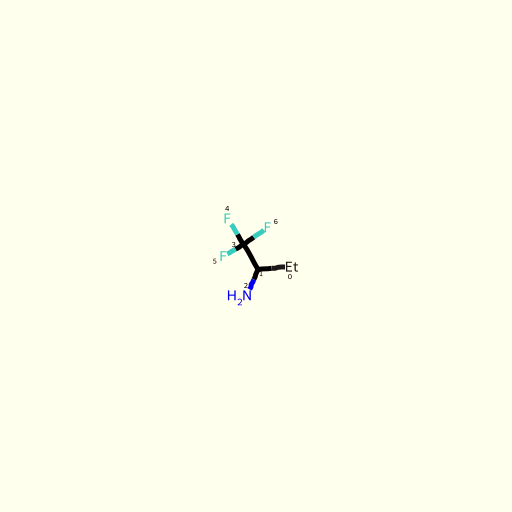 CCC(N)C(F)(F)F